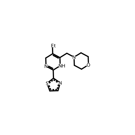 [CH2]CC1=C(CN2CCOCC2)NC(c2nccs2)=NC1